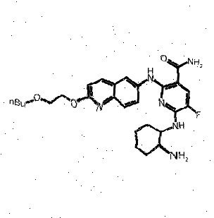 CCCCOCCOc1ccc2cc(Nc3nc(NC4CCCCC4N)c(F)cc3C(N)=O)ccc2n1